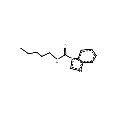 CCCCCNC(=O)n1cnc2ccccc21